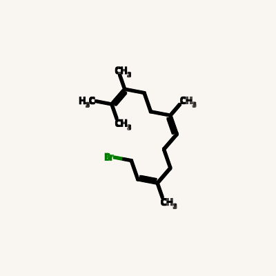 CC(=CCBr)CCC=C(C)CCC(C)=C(C)C